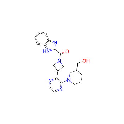 O=C(c1nc2ccccc2[nH]1)N1CC(c2nccnc2N2CCC[C@H](CO)C2)C1